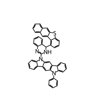 c1ccc(-n2c3ccccc3c3cc4c(cc32)c2ccccc2n4C2=Nc3ccccc3C(c3cccc4sc5cc6ccccc6cc5c34)N2)cc1